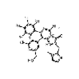 [2H]c1c([2H])c([2H])c(-c2nc(N)[n+]3c(=O)n(Cc4nccn4C)[nH]c3c2-c2cc(Cl)nc(CO)c2)c([2H])c1[2H]